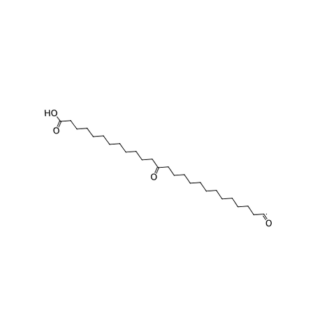 O=[C]CCCCCCCCCCCCC(=O)CCCCCCCCCCCC(=O)O